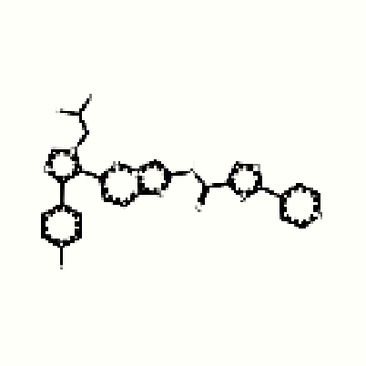 O=C(Nc1cn2nc(-c3c(-c4ccc(F)cc4)ncn3CC(F)F)ccc2n1)c1cnc(-c2ccncc2)s1